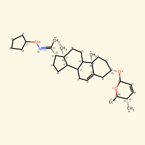 CC[C@H]1OC(O[C@H]2CC[C@@]3(C)C(=CCC4C3CC[C@@]3(C)C4CC[C@@H]3/C(C)=N/OC3CCCC3)C2)C=C[C@@H]1C